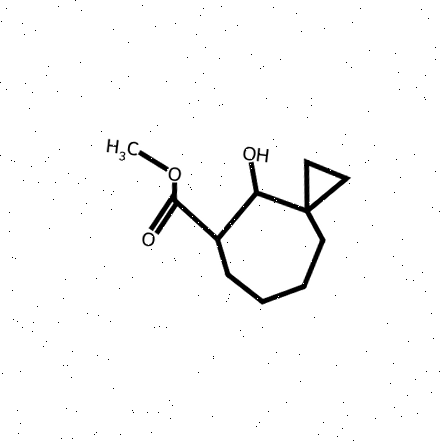 COC(=O)C1CCCCC2(CC2)C1O